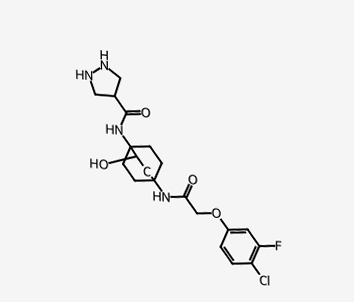 O=C(COc1ccc(Cl)c(F)c1)NC12CCC(NC(=O)C3CNNC3)(CC1)C(O)C2